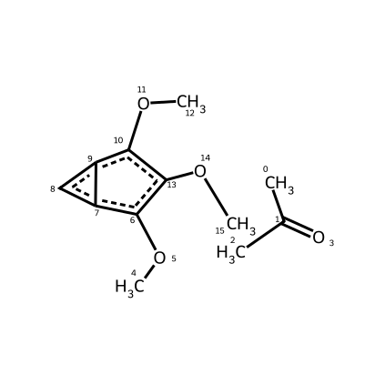 CC(C)=O.COc1c2cc-2c(OC)c1OC